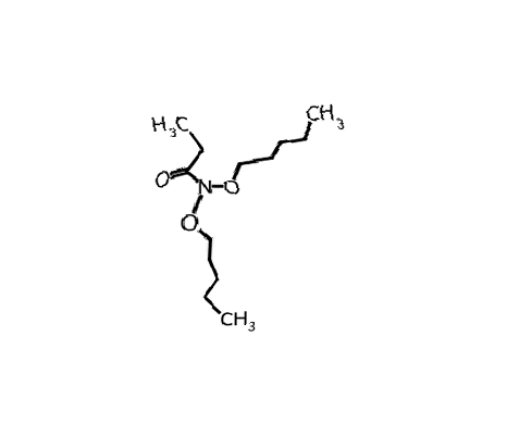 CCCCCON(OCCCCC)C(=O)CC